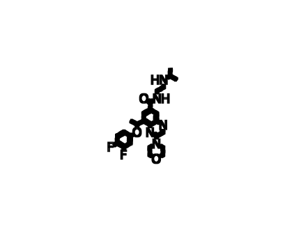 CC(C)NCCNC(=O)c1cc(C(C)Oc2ccc(F)c(F)c2)c2nc(N3CCOCC3)cnc2c1